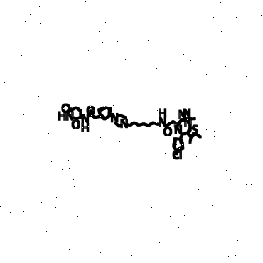 Cc1sc2c(c1C)C(c1ccc(Cl)cc1)=N[C@@H](CC(=O)NCCCCCCCN1CCN(c3cccc(CC(=O)NC4CCC(=O)NC4=O)c3)CC1)c1nnc(C)n1-2